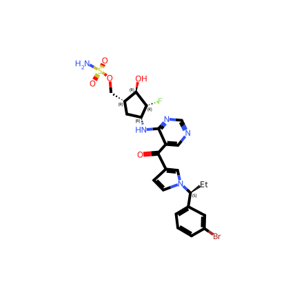 CC[C@@H](c1cccc(Br)c1)n1ccc(C(=O)c2cncnc2N[C@@H]2C[C@H](COS(N)(=O)=O)[C@@H](O)[C@@H]2F)c1